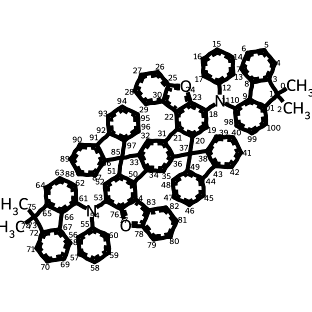 CC1(C)c2ccccc2-c2c(N(c3ccccc3)c3cc4c(c5c3oc3ccccc35)-c3cc5c(cc3C43c4ccccc4-c4ccccc43)-c3c(cc(N(c4ccccc4)c4cccc6c4-c4ccccc4C6(C)C)c4oc6ccccc6c34)C53c4ccccc4-c4ccccc43)cccc21